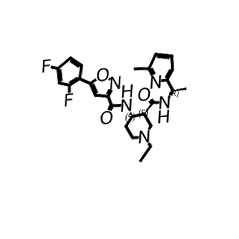 CCN1CC[C@H](NC(=O)c2cc(-c3ccc(F)cc3F)on2)[C@@H](C(=O)N[C@H](C)c2cccc(C)n2)C1